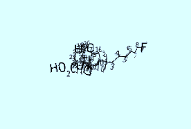 CC(C)(CCCCCCF)c1cc(O)c2c(c1)OC(C)(C)[C@@H]1CC=C(C(=O)O)C[C@@H]21